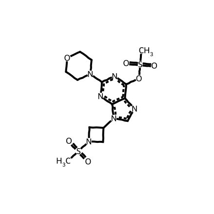 CS(=O)(=O)Oc1nc(N2CCOCC2)nc2c1ncn2C1CN(S(C)(=O)=O)C1